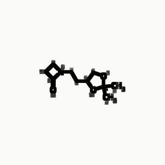 CC1(C)OCC(CCN2CCC2=O)O1